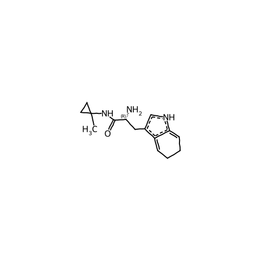 CC1(NC(=O)[C@H](N)Cc2c[nH]c3c2=CCCC=3)CC1